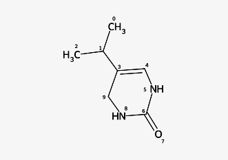 CC(C)C1=CNC(=O)NC1